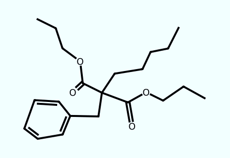 CCCCCC(Cc1ccccc1)(C(=O)OCCC)C(=O)OCCC